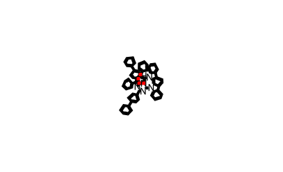 c1ccc(-c2ccc(C3=NC(c4ccc(-c5ccccc5)cc4)NC(n4c5ccccc5c5ccc6c7ccccc7n(-c7ccc(-c8ccccc8)cc7-c7ccccc7)c6c54)=N3)cc2)cc1